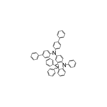 c1ccc(-c2ccc(N(c3ccc(-c4ccccc4)cc3)c3ccc4c(c3)[Si](c3ccccc3)(c3ccccc3)c3ccccc3N4c3ccccc3)cc2)cc1